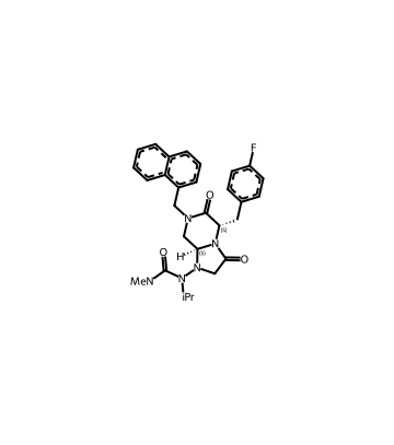 CNC(=O)N(C(C)C)N1CC(=O)N2[C@@H](Cc3ccc(F)cc3)C(=O)N(Cc3cccc4ccccc34)C[C@@H]21